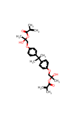 C=C(C)C(=O)OC(C)(O)COc1ccc(C(C)(C)c2ccc(OCC(C)(O)OC(=O)C(=C)C)cc2)cc1